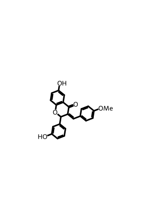 COc1ccc(C=C2C(=O)c3cc(O)ccc3OC2c2cccc(O)c2)cc1